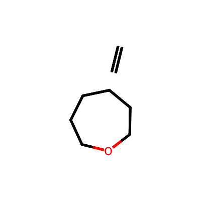 C1CCCOCC1.C=C